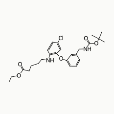 CCOC(=O)CCCCNc1ccc(Cl)cc1Oc1cccc(CNC(=O)OC(C)(C)C)c1